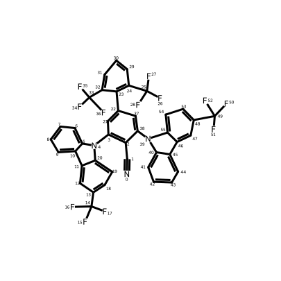 N#Cc1c(-n2c3ccccc3c3cc(C(F)(F)F)ccc32)cc(-c2c(C(F)(F)F)cccc2C(F)(F)F)cc1-n1c2ccccc2c2cc(C(F)(F)F)ccc21